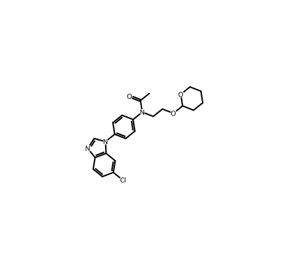 CC(=O)N(CCOC1CCCCO1)c1ccc(-n2cnc3ccc(Cl)cc32)cc1